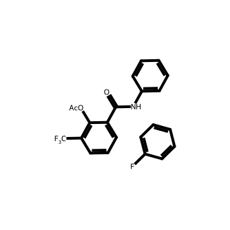 CC(=O)Oc1c(C(=O)Nc2ccccc2)cccc1C(F)(F)F.Fc1ccccc1